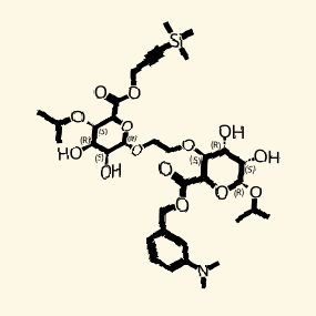 CC(C)O[C@@H]1OC(C(=O)OCc2cccc(N(C)C)c2)[C@@H](OCCO[C@@H]2OC(C(=O)OCC#C[Si](C)(C)C)[C@@H](OC(C)C)[C@H](O)[C@@H]2O)[C@H](O)[C@@H]1O